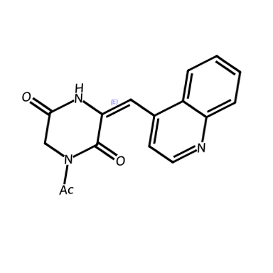 CC(=O)N1CC(=O)N/C(=C/c2ccnc3ccccc23)C1=O